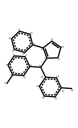 Cc1cccc(C(C2=C(c3ccccc3)C=CC2)c2cccc(C)c2)c1